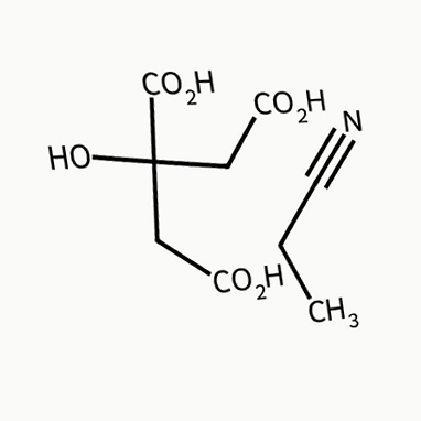 CCC#N.O=C(O)CC(O)(CC(=O)O)C(=O)O